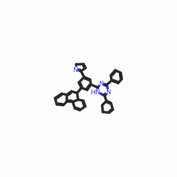 C1=CCCC(C2=NC(c3ccccc3)=NC(c3cc(C4=NCC=C4)cc(C4C=c5ccccc5=C5C=CC=CC54)c3)N2)=C1